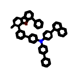 CC1C=Cc2c(sc3c(-c4ccccc4)cccc23)C1c1cccc(-c2ccc(N(C3=CCC(c4cccc5ccccc45)C=C3)c3ccc(-c4ccccc4)cc3)cc2)c1